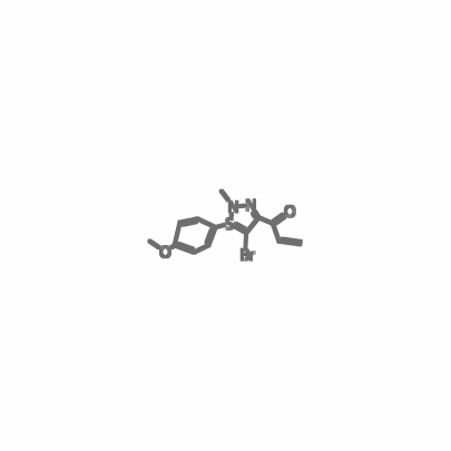 C=CC(=O)C1=NN(C)S(c2ccc(OC)cc2)=C1Br